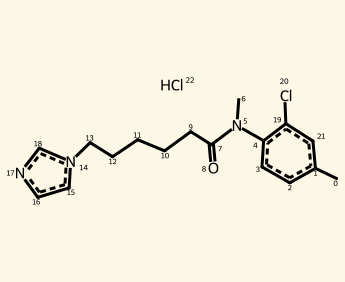 Cc1ccc(N(C)C(=O)CCCCCn2ccnc2)c(Cl)c1.Cl